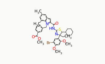 CCC1(c2cc(Br)c(OC)cc2OC)N=C(NC(=O)c2cc3cc(C)cc(C)c3n2Cc2cccc(C(=O)OC)c2)SC1C1CCCCC1